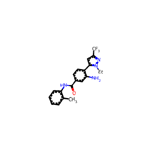 CCn1nc(C(F)(F)F)cc1-c1ccc(C(=O)Nc2ccccc2C)cc1N